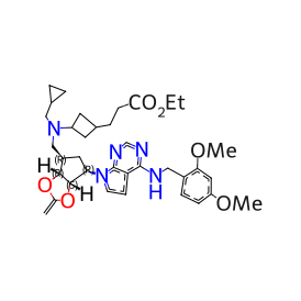 C=C1O[C@@H]2[C@@H](CN(CC3CC3)C3CC(CCC(=O)OCC)C3)C[C@@H](n3ccc4c(NCc5ccc(OC)cc5OC)ncnc43)[C@@H]2O1